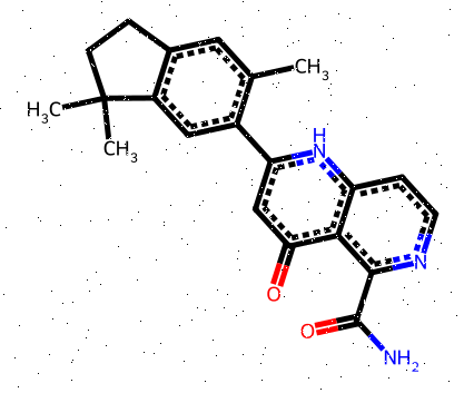 Cc1cc2c(cc1-c1cc(=O)c3c(C(N)=O)nccc3[nH]1)C(C)(C)CC2